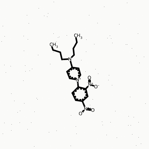 CCCCN(CCCC)c1cc[n+](-c2ccc([N+](=O)[O-])cc2[N+](=O)[O-])cc1